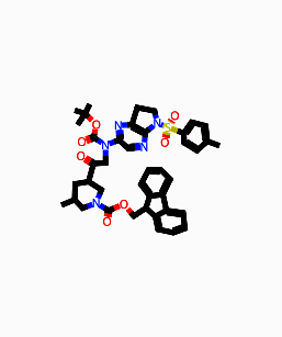 Cc1ccc(S(=O)(=O)N2CCc3nc(N(CC(=O)C4CC(C)CN(C(=O)OCC5c6ccccc6-c6ccccc65)C4)C(=O)OC(C)(C)C)cnc32)cc1